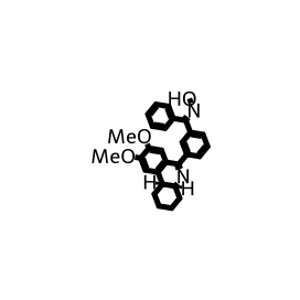 COc1cc2c(cc1OC)[C@H]1CCCC[C@H]1N=C2c1cccc(/C(=N/O)c2ccccc2)c1